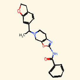 CC(c1ccc2c(c1)OCC2)N1CCc2nc(NC(=O)c3ccccc3)oc2C1